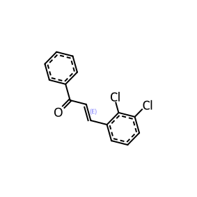 O=C(/C=C/c1cccc(Cl)c1Cl)c1ccccc1